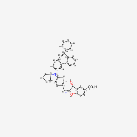 O=C(O)c1ccc2c(c1)C(=O)/C(=C\c1ccc3c(c1)C1CCCC1N3c1ccc(C=C(c3ccccc3)c3ccccc3)cc1)O2